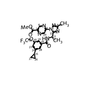 COC(=O)c1cnc(-n2nc(C)nc2C(C)NC(=O)c2cc(OC(F)(F)F)cc(C3CC3)c2)cn1